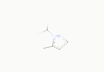 Cc1ccnn1C(F)F